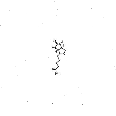 O=C(CCCC[C@@H]1SC[C@H]2[C@@H]1N(I)C(=O)N2I)NI